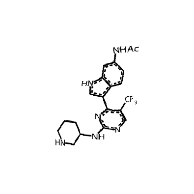 CC(=O)Nc1ccc2c(-c3nc(NC4CCCNC4)ncc3C(F)(F)F)c[nH]c2c1